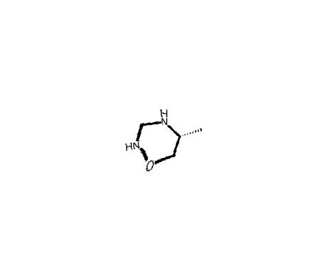 C[C@@H]1CONCN1